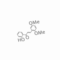 COc1ccc(OC)c(/C=C/C(=O)c2ccccc2O)c1